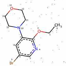 CCOc1ncc(Br)cc1N1CCOCC1